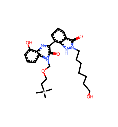 C[Si](C)(C)CCOCn1c(=O)c(-c2cccc3c(=O)n(CCCCCCCO)[nH]c23)nc2c(O)cccc21